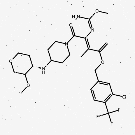 C=C(OCc1ccc(C(F)(F)F)c(Cl)c1)/C(C)=C(\N=C(/N)OC)C(=O)N1CCC(N[C@H]2CCOCC2OC)CC1